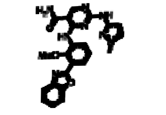 COc1c(Nc2nc(Nc3ccn(C)n3)ncc2C(N)=O)cccc1-c1nc2ccccc2o1